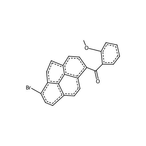 COc1ccccc1C(=O)c1ccc2ccc3c(Br)ccc4ccc1c2c43